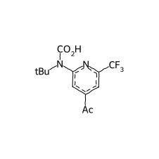 CC(=O)c1cc(N(C(=O)O)C(C)(C)C)nc(C(F)(F)F)c1